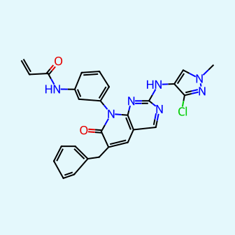 C=CC(=O)Nc1cccc(-n2c(=O)c(Cc3ccccc3)cc3cnc(Nc4cn(C)nc4Cl)nc32)c1